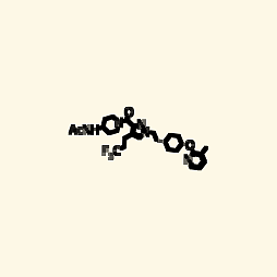 CC(=O)NC1CCN(C(=O)c2nn(CC[C@H]3CC[C@@H](Oc4ncccc4C)CC3)cc2CCC(F)(F)F)CC1